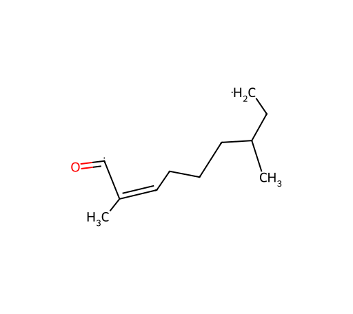 [CH2]CC(C)CCCC=C(C)[C]=O